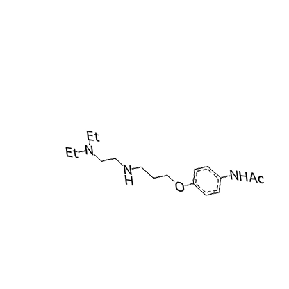 CCN(CC)CCNCCCOc1ccc(NC(C)=O)cc1